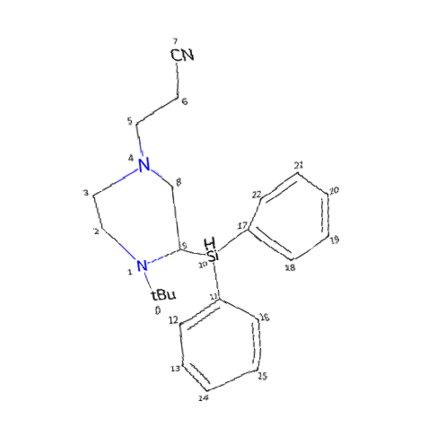 CC(C)(C)N1CCN(CCC#N)CC1[SiH](c1ccccc1)c1ccccc1